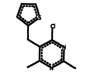 Cc1nc(C)c(Cc2cccs2)c(Cl)n1